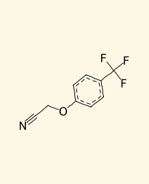 N#CCOc1ccc(C(F)(F)F)cc1